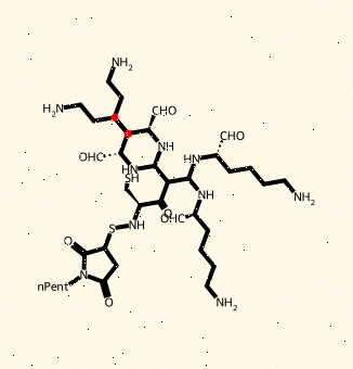 CCCCCN1C(=O)CC(SN[C@@H](CS)C(=O)C(C(N[C@H](C=O)CCCCN)N[C@H](C=O)CCCCN)C(N[C@H](C=O)CCCCN)N[C@H](C=O)CCCCN)C1=O